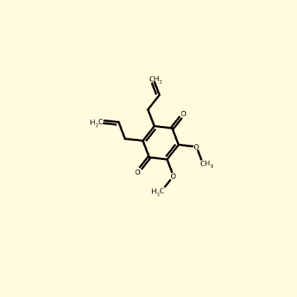 C=CCC1=C(CC=C)C(=O)C(OC)=C(OC)C1=O